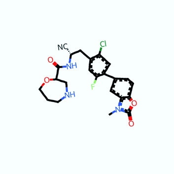 Cn1c(=O)oc2ccc(-c3cc(Cl)c(C[C@@H](C#N)NC(=O)C4CNCCCO4)cc3F)cc21